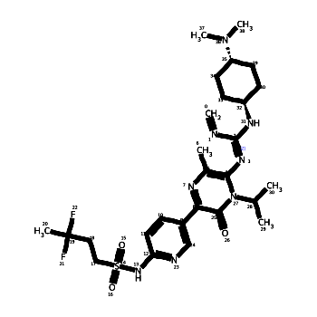 C=N/C(=N\c1c(C)nc(-c2ccc(NS(=O)(=O)CCC(C)(F)F)nc2)c(=O)n1C(C)C)N[C@H]1CC[C@H](N(C)C)CC1